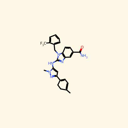 CC1=CC=C(c2cc(Nc3nc4cc(C(N)=O)ccc4n3Cc3ccccc3C(F)(F)F)n(C)n2)CC1